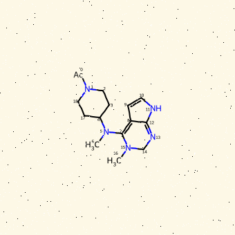 CC(=O)N1CCC(N(C)C2=c3cc[nH]c3=NCN2C)CC1